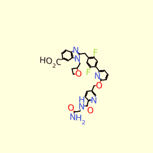 NC(=O)CNC(=O)c1ccc(COc2cccc(-c3cc(F)c(Cc4nc5ccc(C(=O)O)cc5n4CC4CCO4)cc3F)n2)cn1